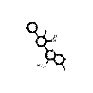 CCNc1c(-c2cc(C(=O)O)c3cc(F)ccc3n2)ccc(-c2ccccc2)c1F